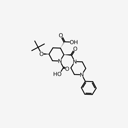 CC(C)(C)O[C@H]1C[C@H](C(=O)O)[C@@H](C(=O)N2CCN(c3ccccc3)CC2)N(C(=O)O)C1